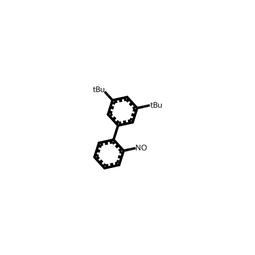 CC(C)(C)c1cc(-c2ccccc2N=O)cc(C(C)(C)C)c1